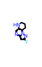 Fc1cc2ncc3c(n2n1)CCCN3